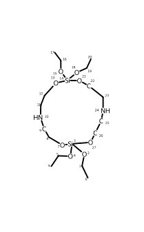 CCO[Si]1(OCC)OCCNCCO[Si](OCC)(OCC)OCCNCCO1